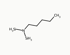 CCCCCN([SiH3])[SiH3]